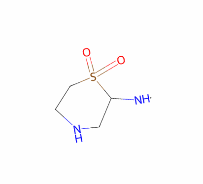 [NH]C1CNCCS1(=O)=O